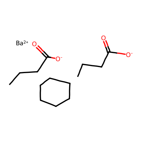 C1CCCCC1.CCCC(=O)[O-].CCCC(=O)[O-].[Ba+2]